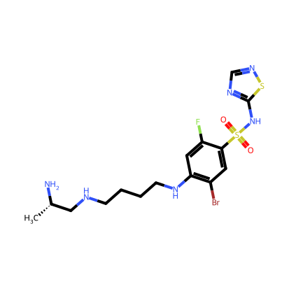 C[C@H](N)CNCCCCNc1cc(F)c(S(=O)(=O)Nc2ncns2)cc1Br